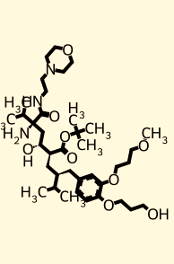 COCCCOc1cc(C[C@H](C[C@H](C(=O)OC(C)(C)C)[C@H](O)C[C@@](N)(C(=O)NCCN2CCOCC2)C(C)C)C(C)C)ccc1OCCCO